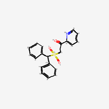 O=C(CS(=O)(=O)C(c1ccccc1)c1ccccc1)c1ccccn1